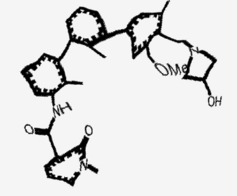 COc1cc(-c2cccc(-c3cccc(NC(=O)c4cccn(C)c4=O)c3C)c2C)cc(F)c1CN1CC(O)C1